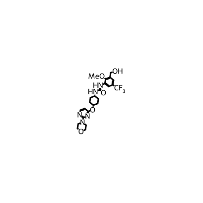 COc1c(CO)cc(C(F)(F)F)cc1NC(=O)N[C@H]1CC[C@H](Oc2ccnc(N3CCOCC3)n2)CC1